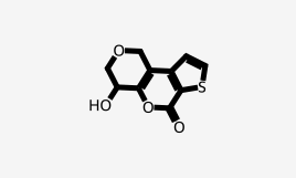 O=c1oc2c(c3ccsc13)COCC2O